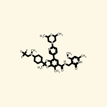 CSc1cc(C)[nH]c(=O)c1CNC(=O)c1cc(-c2ccc(N3CC(C)OC(C)C3)nc2)c2c(c1C)OC(C)(C1CCC(N(C)CC(F)(F)F)CC1)O2